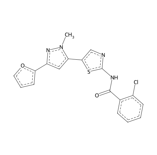 Cn1nc(-c2ccco2)cc1-c1cnc(NC(=O)c2ccccc2Cl)s1